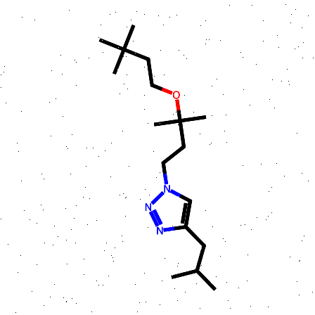 CC(C)Cc1cn(CCC(C)(C)OCCC(C)(C)C)nn1